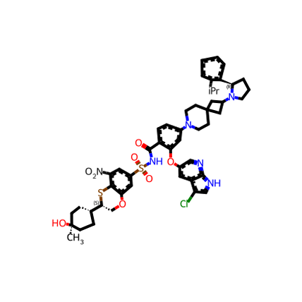 CC(C)c1ccccc1[C@H]1CCCN1C1CC2(CCN(c3ccc(C(=O)NS(=O)(=O)c4cc5c(c([N+](=O)[O-])c4)S[C@@H]([C@H]4CC[C@](C)(O)CC4)CO5)c(Oc4cnc5[nH]cc(Cl)c5c4)c3)CC2)C1